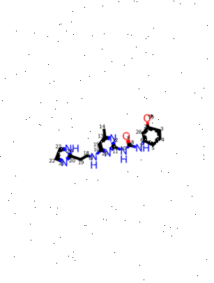 COc1cccc(NC(=O)Nc2nc(C)cc(NCCc3ncc[nH]3)n2)c1